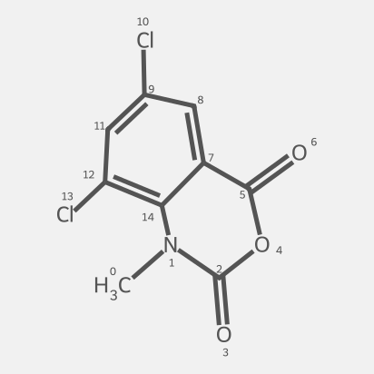 Cn1c(=O)oc(=O)c2cc(Cl)cc(Cl)c21